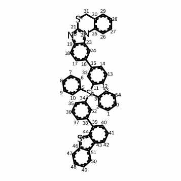 c1ccc([Si](c2ccccc2)(c2cccc(-c3ccc4nc5n(c4c3)-c3ccccc3CS5)c2)c2cccc(-c3cccc4c3sc3ccccc34)c2)cc1